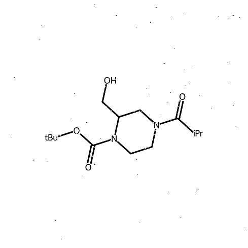 CC(C)C(=O)N1CCN(C(=O)OC(C)(C)C)C(CO)C1